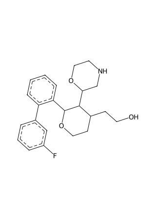 OCCC1CCOC(c2ccccc2-c2cccc(F)c2)C1C1CNCCO1